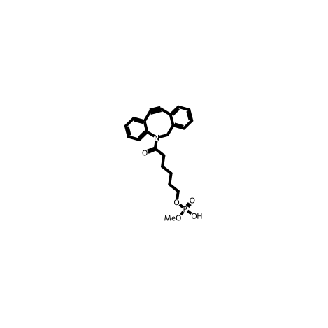 COP(=O)(O)OCCCCCC(=O)N1Cc2ccccc2C#Cc2ccccc21